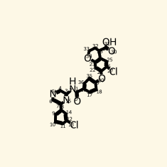 O=C(Nc1cncc(-c2cccc(Cl)c2)n1)c1ccc(Oc2cc3c(cc2Cl)C(C(=O)O)CCO3)cc1